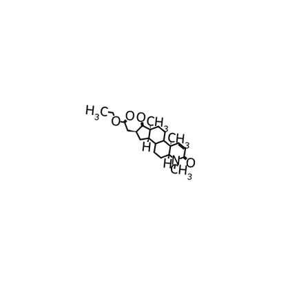 CCOC(=O)C[C@@H]1C[C@H]2C3CC[C@H]4N(C)C(=O)C=C[C@]4(C)C3CC[C@]2(C)C1=O